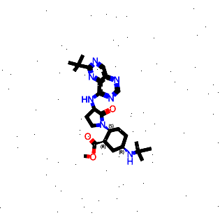 COC(=O)[C@@H]1C[C@H](NC(C)(C)C)CC[C@@H]1N1CCC(Nc2ncnc3cnc(C(C)(C)C)nc23)C1=O